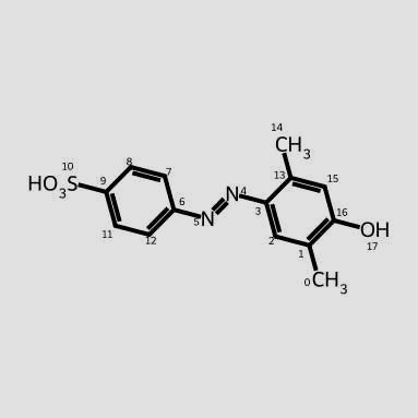 Cc1cc(/N=N/c2ccc(S(=O)(=O)O)cc2)c(C)cc1O